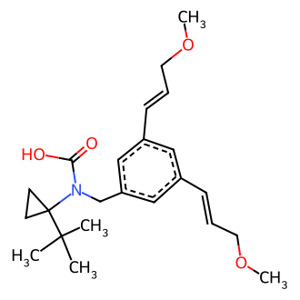 COCC=Cc1cc(C=CCOC)cc(CN(C(=O)O)C2(C(C)(C)C)CC2)c1